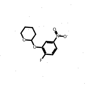 O=[N+]([O-])c1ccc(F)c(OC2CCCCO2)c1